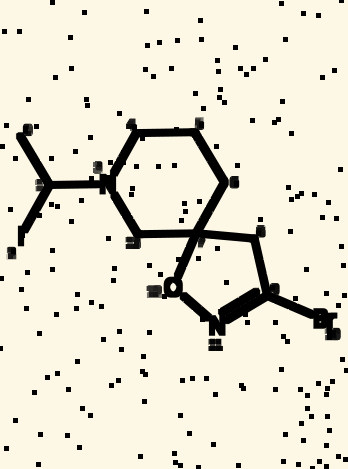 CC(I)N1CCCC2(CC(Br)=NO2)C1